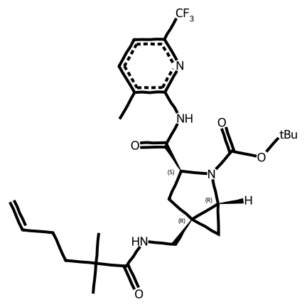 C=CCCC(C)(C)C(=O)NC[C@@]12C[C@@H](C(=O)Nc3nc(C(F)(F)F)ccc3C)N(C(=O)OC(C)(C)C)[C@@H]1C2